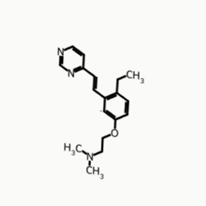 CCc1ccc(OCCN(C)C)[c]c1C=Cc1ccncn1